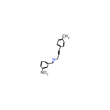 Cc1ccc(C#CCN=Cc2cccc([N+](=O)[O-])c2)cc1